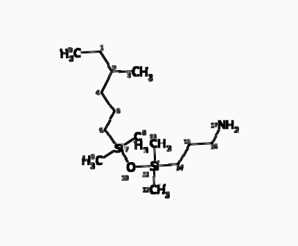 CCC(C)CCC[Si](C)(C)O[Si](C)(C)CCCN